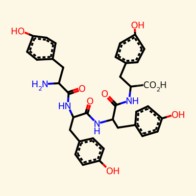 NC(Cc1ccc(O)cc1)C(=O)NC(Cc1ccc(O)cc1)C(=O)NC(Cc1ccc(O)cc1)C(=O)NC(Cc1ccc(O)cc1)C(=O)O